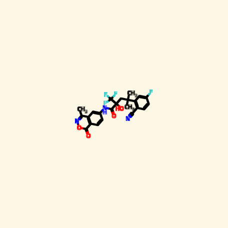 Cc1noc(=O)c2ccc(NC(=O)C(O)(CC(C)(C)c3cc(F)ccc3C#N)C(F)(F)F)cc12